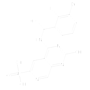 Cc1nc(NC(C)c2cccc(Br)c2F)c2cc(P(C)(C)=O)ncc2n1